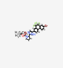 CC(C)(C)OC(=O)N1CCCC1c1ncc(-c2ccc3c(c2)C(F)(F)C(F)(F)c2cc(Br)ccc2-3)[nH]1